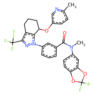 Cc1ccc(OC2CCCc3c(C(F)(F)F)nn(-c4cccc(C(=O)N(C)c5ccc6c(c5)OC(F)(F)O6)c4)c32)cn1